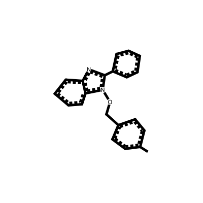 Cc1ccc(COn2c(-c3ccccc3)nc3ccccc32)cc1